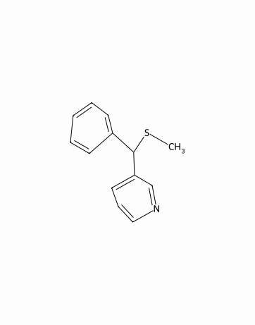 CSC(c1ccccc1)c1cccnc1